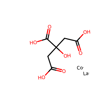 O=C(O)CC(O)(CC(=O)O)C(=O)O.[Co].[La]